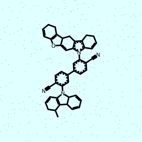 CC1CC=CC2=C1C1C=CC=CC1N2c1cc(-c2ccc(C#N)c(-n3c4c(c5c3C=C3OC6=C(CCC=C6)C3C5)CCC=C4)c2)ccc1C#N